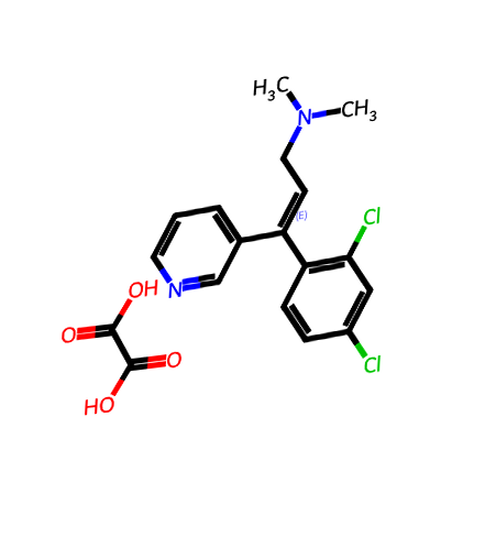 CN(C)C/C=C(\c1cccnc1)c1ccc(Cl)cc1Cl.O=C(O)C(=O)O